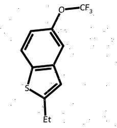 CCc1cc2cc(OC(F)(F)F)ccc2s1